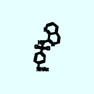 CC(=O)Nc1ccc(S(=O)(=O)Nc2nccc3cccnc23)cc1